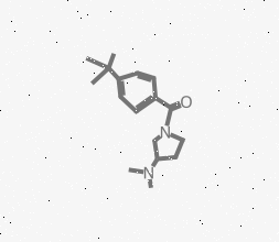 CN(C)C1CCN(C(=O)c2ccc(C(C)(C)C)cc2)C1